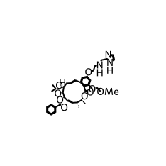 COCOc1cc(OCCNCc2ncc[nH]2)cc2c1C(=O)O[C@@H](C)[C@H](C)/C=C\C(OC(=O)c1ccccc1)C1OC(C)(C)O[C@H]1C/C=C/2